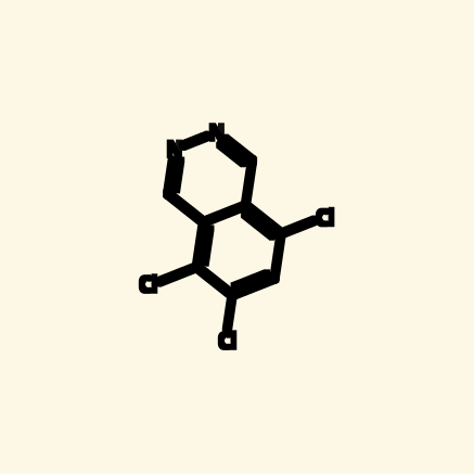 Clc1cc(Cl)c2cnncc2c1Cl